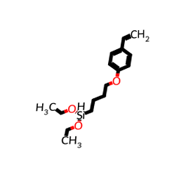 C=Cc1ccc(OCCCC[SiH](OCC)OCC)cc1